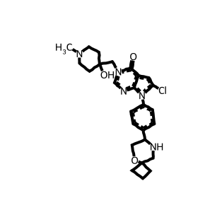 CN1CCC(O)(Cn2cnc3c(cc(Cl)n3-c3ccc(C4COC5(CCC5)CN4)cc3)c2=O)CC1